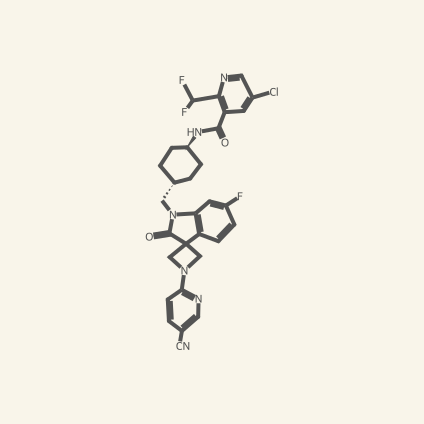 N#Cc1ccc(N2CC3(C2)C(=O)N(C[C@H]2CC[C@H](NC(=O)c4cc(Cl)cnc4C(F)F)CC2)c2cc(F)ccc23)nc1